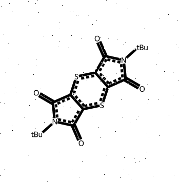 CC(C)(C)n1c(=O)c2sc3c(=O)n(C(C)(C)C)c(=O)c3sc2c1=O